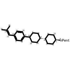 CCCCC[C@H]1CC[C@H](C2CCC(c3ccc(C=C(C)C)cc3)CC2)CC1